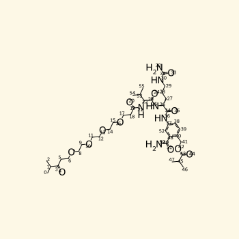 CC(C)C(=O)CCOCCOCCOCCOCCC(=O)N[C@H](C(=O)N[C@@H](CCCNC(N)=O)C(=O)Nc1ccc(COC(=O)C(C)C)c(C(N)=O)c1)C(C)C